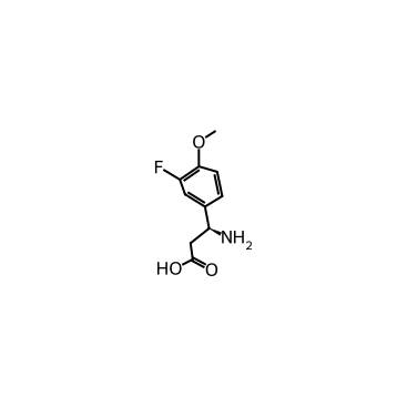 COc1ccc([C@@H](N)CC(=O)O)cc1F